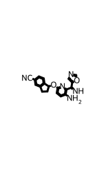 N#Cc1ccc2c(c1)CCC2Oc1ccc(N)c(C(=N)c2cnco2)n1